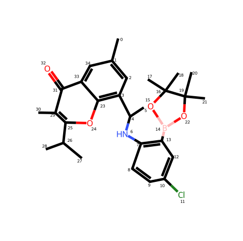 Cc1cc(C(C)Nc2ccc(Cl)cc2B2OC(C)(C)C(C)(C)O2)c2oc(C(C)C)c(C)c(=O)c2c1